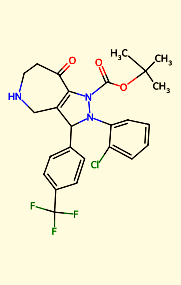 CC(C)(C)OC(=O)N1C2=C(CNCCC2=O)C(c2ccc(C(F)(F)F)cc2)N1c1ccccc1Cl